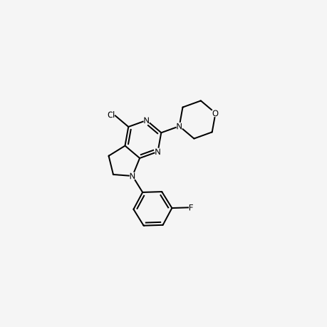 Fc1cccc(N2CCc3c(Cl)nc(N4CCOCC4)nc32)c1